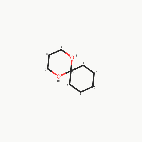 [CH]1CCC2(CC1)OCCCO2